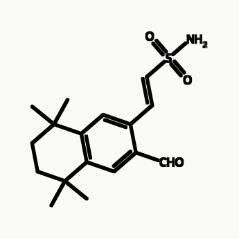 CC1(C)CCC(C)(C)c2cc(/C=C/S(N)(=O)=O)c(C=O)cc21